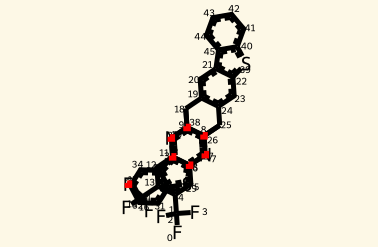 FC(F)(F)c1cc2nc3c(nc2cc1C(F)(F)F)C1c2cc4c(cc2C3c2cc3sc5ccccc5c3cc21)sc1ccccc14